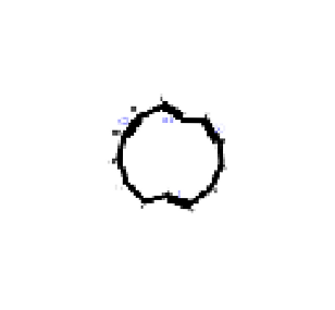 [CH]1/C=C/CC\C=C/C=C/C=C\CC1